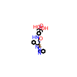 CCC(CC)(c1ccc(NC(=O)/C=C/c2sc(-n3cnc4ccccc43)nc2-c2ccccc2)cc1)P(=O)(O)O